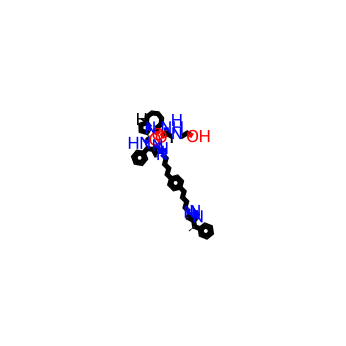 C[C@@H](c1ccccc1)c1cn(CCCCc2ccc(CCCCn3cc([C@@H](NC(=O)[C@@H]4CC[C@@H]5CCCC[C@H](NC(=O)[C@H](C)NCCO)C(=O)N54)c4ccccc4)nn3)cc2)nn1